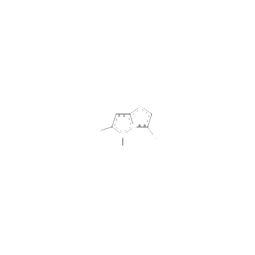 Nc1cc2ncc(N)n2n1O